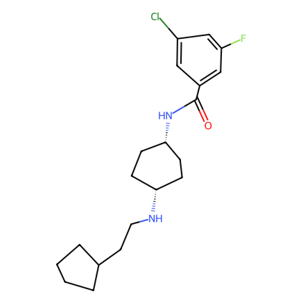 O=C(N[C@H]1CC[C@@H](NCCC2CCCC2)CC1)c1cc(F)cc(Cl)c1